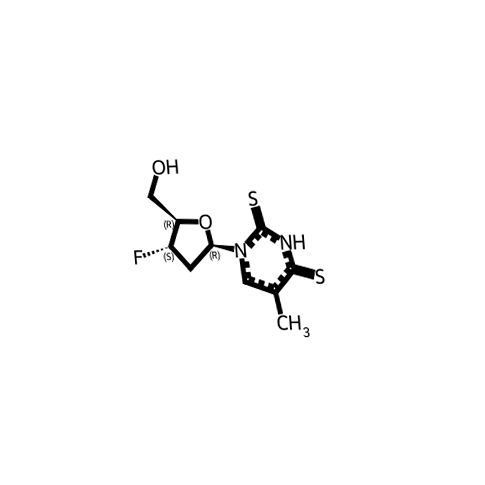 Cc1cn([C@H]2C[C@H](F)[C@@H](CO)O2)c(=S)[nH]c1=S